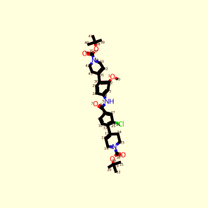 COc1cc(NC(=O)c2ccc(C3=CCN(C(=O)OC(C)(C)C)CC3)c(Cl)c2)ccc1C1=CCN(C(=O)OC(C)(C)C)CC1